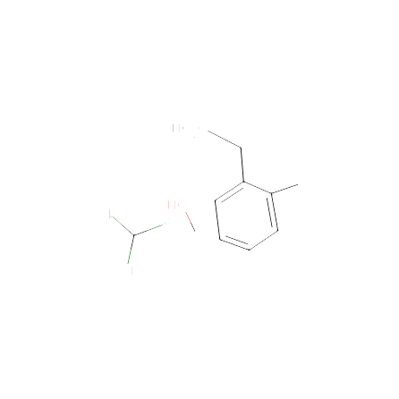 CO.Cc1ccccc1CC(=O)O.ClC(Cl)Cl